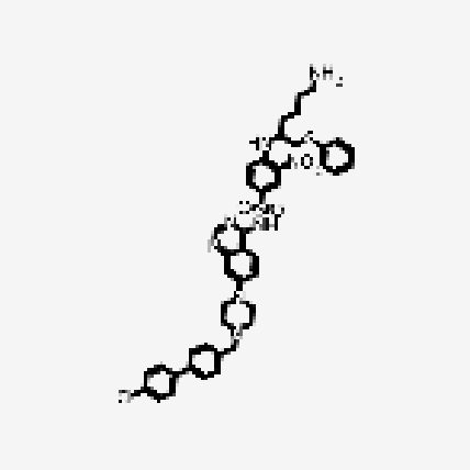 NCCCCC(CSc1ccccc1)Nc1ccc(S(=O)(=O)Nc2ncnc3cc(N4CCN(Cc5ccc(-c6ccc(Cl)cc6)cc5)CC4)ccc23)cc1[N+](=O)[O-]